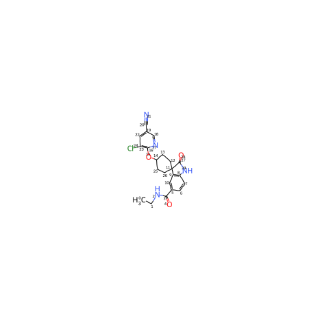 CCNC(=O)c1ccc2c(c1)C1(CCC(Oc3ncc(C#N)cc3Cl)CC1)C(=O)N2